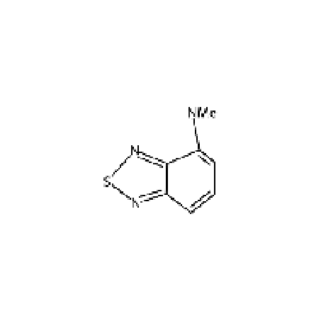 CNc1cccc2nsnc12